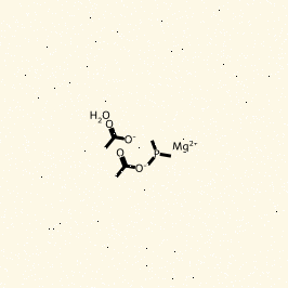 CC(=O)[O-].CC(=O)[O-].CP(C)C.O.[Mg+2]